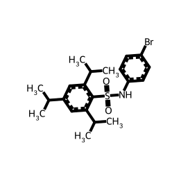 CC(C)c1cc(C(C)C)c(S(=O)(=O)Nc2ccc(Br)cc2)c(C(C)C)c1